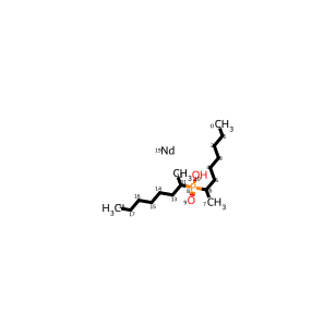 CCCCCCC(C)P(=O)(O)C(C)CCCCCC.[Nd]